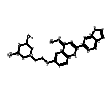 CC1CN(CCOc2ccc3oc(-c4cc5sccc5cn4)c/c(=N/O)c3c2)CC(C)O1